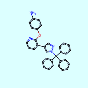 Nc1ccc(Oc2ncccc2-c2cnn(C(c3ccccc3)(c3ccccc3)c3ccccc3)c2)cc1